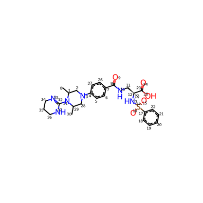 CC1CN(c2ccc(C(=O)NC[C@H](NS(=O)(=O)c3ccccc3)C(=O)O)cc2)CC(C)N1C1=NCCCN1